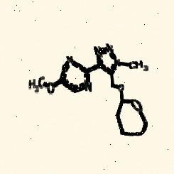 COc1cnc(-c2nnn(C)c2COC2CCCCO2)nc1